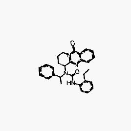 CCc1ccccc1NC(=O)N(C(C)c1ccccc1)C1CCCn2c1nc1ccccc1c2=O